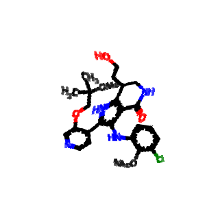 COc1c(Cl)cccc1Nc1c(-c2ccncc2OCC(C)(C)OC)[nH]c2c1C(=O)NCC2CCO